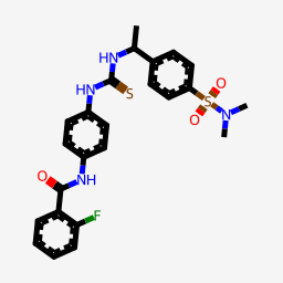 CC(NC(=S)Nc1ccc(NC(=O)c2ccccc2F)cc1)c1ccc(S(=O)(=O)N(C)C)cc1